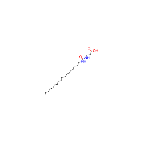 CCCCCCCCCCCCCCCCCCNC(=O)NCCC(=O)O